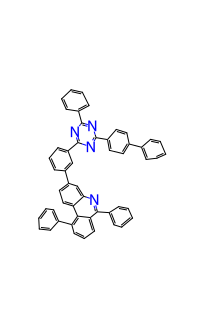 c1ccc(-c2ccc(-c3nc(-c4ccccc4)nc(-c4cccc(-c5ccc6c(c5)nc(-c5ccccc5)c5cccc(-c7ccccc7)c56)c4)n3)cc2)cc1